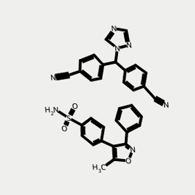 Cc1onc(-c2ccccc2)c1-c1ccc(S(N)(=O)=O)cc1.N#Cc1ccc(C(c2ccc(C#N)cc2)n2cncn2)cc1